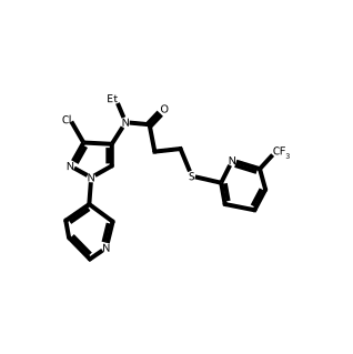 CCN(C(=O)CCSc1cccc(C(F)(F)F)n1)c1cn(-c2cccnc2)nc1Cl